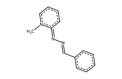 Cn1cccc/c1=N\N=C\c1ccccc1